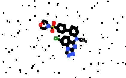 CN(c1cccc(-c2ccc(S(=O)(=O)N3CCOCC3)cc2)c1)c1nc2nncn2c2cc(Cl)ccc12